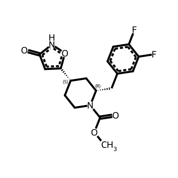 COC(=O)N1CC[C@H](c2cc(=O)[nH]o2)C[C@@H]1Cc1ccc(F)c(F)c1